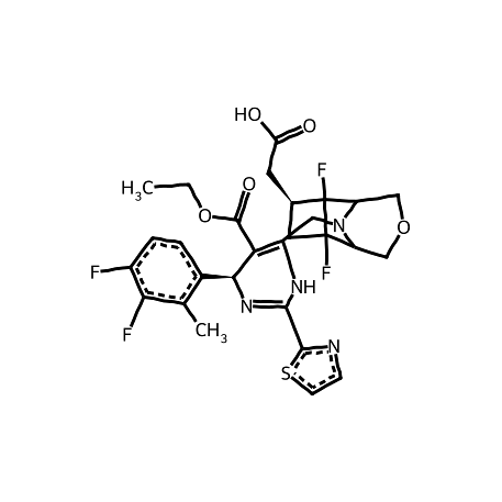 CCOC(=O)C1=C(CN2C3COCC2C2(F)[C@H](CC(=O)O)CC32F)NC(c2nccs2)=N[C@H]1c1ccc(F)c(F)c1C